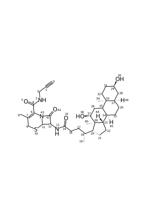 C#CCNC(=O)C1=C(C)CSC2C(NC(=O)CC[C@@H](C)[C@H]3CC[C@H]4[C@@H]5CC[C@@H]6C[C@H](O)CC[C@]6(C)C5C[C@H](O)[C@]34C)C(=O)N12